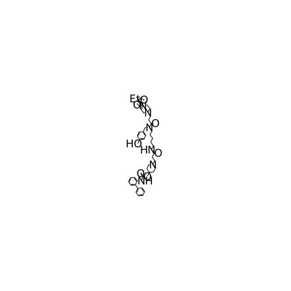 CCS(=O)(=O)N1CCN(CCC(=O)N(CCCCCNC(=O)CCN2CCC(OC(=O)Nc3ccccc3-c3ccccc3)CC2)Cc2ccc(O)cc2)CC1